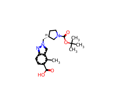 Cc1c(C(=O)O)ccc2nn(C[C@@H]3CCN(C(=O)OC(C)(C)C)C3)cc12